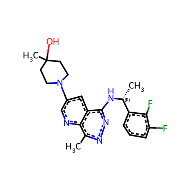 Cc1nnc(N[C@H](C)c2cccc(F)c2F)c2cc(N3CCC(C)(O)CC3)cnc12